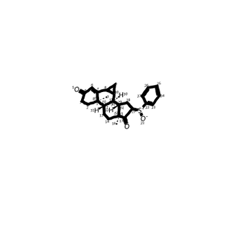 C[C@]12CCC(=O)C=C1C1CC1[C@@H]1[C@@H]2CC[C@]2(C)C(=O)C([S+]([O-])c3ccccc3)C[C@@H]12